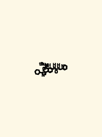 CC(C)(C)N[S+]([O-])c1cc(NC(=O)NCc2ccccn2)ccc1-c1cnc(C2CCCCC2)s1